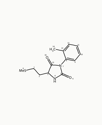 CSCCC1NC(=O)N(c2ccccc2C)C1=O